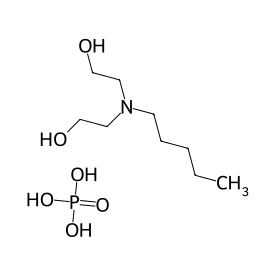 CCCCCN(CCO)CCO.O=P(O)(O)O